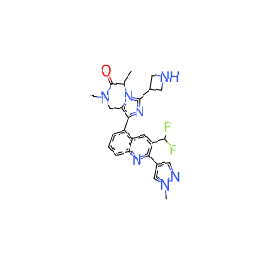 CC1C(=O)N(C)Cc2c(-c3cccc4nc(-c5cnn(C)c5)c(C(F)F)cc34)nc(C3CNC3)n21